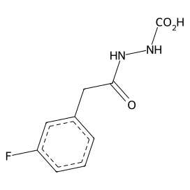 O=C(O)NNC(=O)Cc1cccc(F)c1